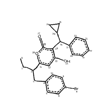 CCC(Cc1ccc(Br)cc1)c1cc(O)c(C(c2ccccc2)C2CC2)c(=O)o1